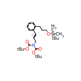 CC(C)(C)OC(=O)N(C/C=C/c1ccccc1CCCO[Si](C)(C)C(C)(C)C)C(=O)OC(C)(C)C